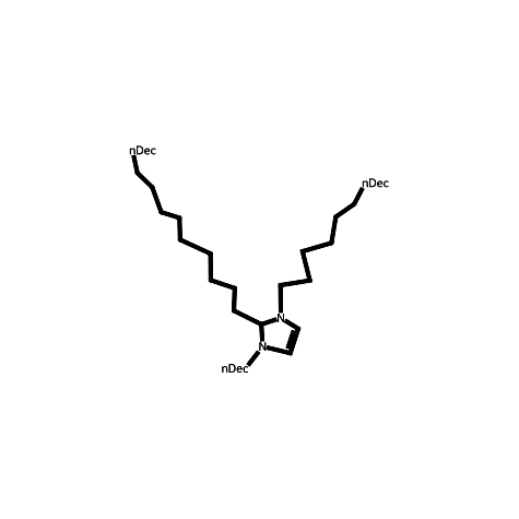 CCCCCCCCCCCCCCCCCCCC1N(CCCCCCCCCC)C=CN1CCCCCCCCCCCCCCCC